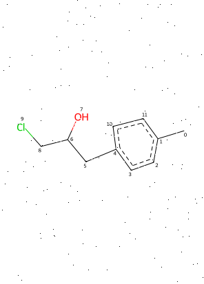 Cc1ccc(CC(O)CCl)cc1